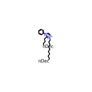 CCCCCCCCCCCCCCCCCCC[n+]1ccn(-c2ccccc2)c1CCCCCCCCCCCCC